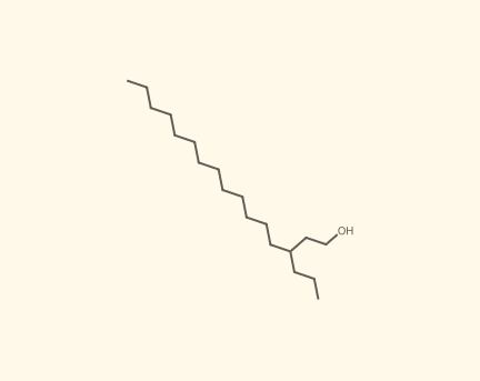 CCCCCCCCCCCCCC(CCC)CCO